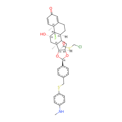 CNc1ccc(SCc2ccc([C@@H]3O[C@@H]4CC5[C@@H]6CCC7=CC(=O)C=C[C@]7(C)[C@@]6(F)[C@@H](O)C[C@]5(C)[C@]4(C(=O)SCCl)O3)cc2)cc1